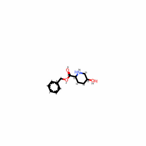 O=C(OCc1ccccc1)C1CCC(O)CN1